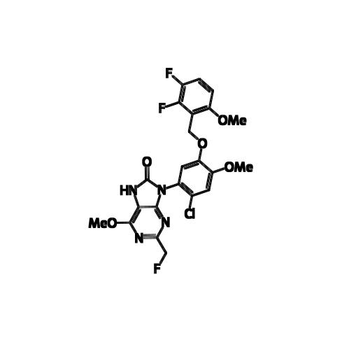 COc1cc(Cl)c(-n2c(=O)[nH]c3c(OC)nc(CF)nc32)cc1OCc1c(OC)ccc(F)c1F